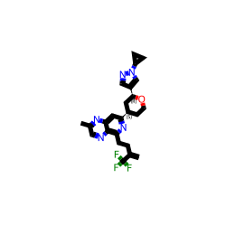 C=C(CCc1nc([C@H]2CCO[C@@H](c3cnn(C4CC4)c3)C2)cc2nc(C)cnc12)C(F)(F)F